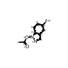 CC(=O)On1ncc2cc(F)ccc21